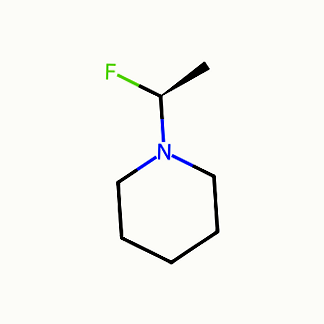 C[C@H](F)N1CCCCC1